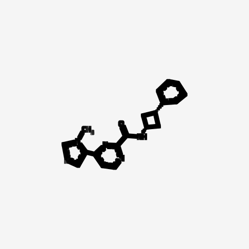 Cn1cncc1-c1ccnc(C(=O)N[C@H]2C[C@@H](c3ccccc3)C2)n1